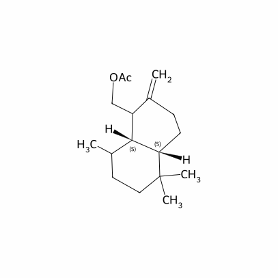 C=C1CC[C@H]2[C@H](C(C)CCC2(C)C)C1COC(C)=O